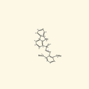 COc1cccc(OC)c1/C=C/C(=O)c1nccc2c1[nH]c1ccccc12